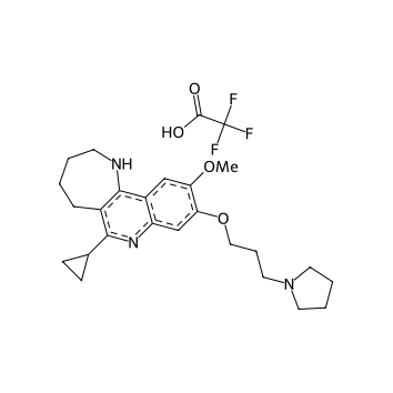 COc1cc2c3c(c(C4CC4)nc2cc1OCCCN1CCCC1)CCCCN3.O=C(O)C(F)(F)F